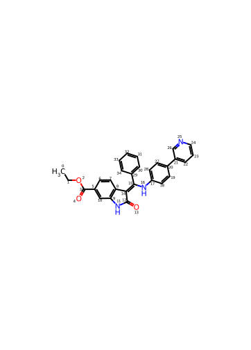 CCOC(=O)c1ccc2c(c1)NC(=O)/C2=C(\Nc1ccc(-c2cccnc2)cc1)c1ccccc1